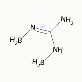 B/N=C(/N)NB